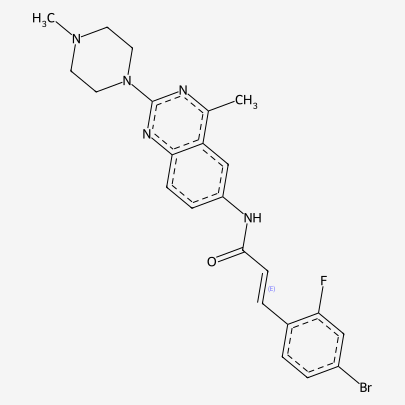 Cc1nc(N2CCN(C)CC2)nc2ccc(NC(=O)/C=C/c3ccc(Br)cc3F)cc12